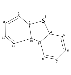 C1=CC2SC3C=CC=CC3C2C=C1